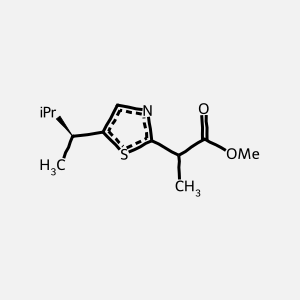 COC(=O)C(C)c1ncc([C@@H](C)C(C)C)s1